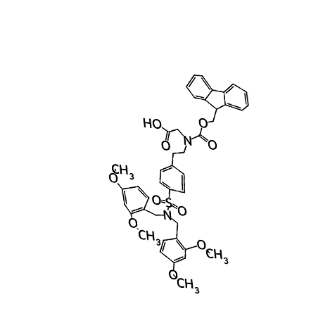 COc1ccc(CN(Cc2ccc(OC)cc2OC)S(=O)(=O)c2ccc(CCN(CC(=O)O)C(=O)OCC3c4ccccc4-c4ccccc43)cc2)c(OC)c1